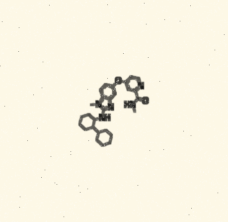 CNC(=O)c1cc(Oc2ccc3c(c2)nc(NC2CCCCC2C2CCCCC2)n3C)ccn1